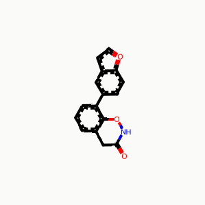 O=C1Cc2cccc(-c3ccc4occc4c3)c2ON1